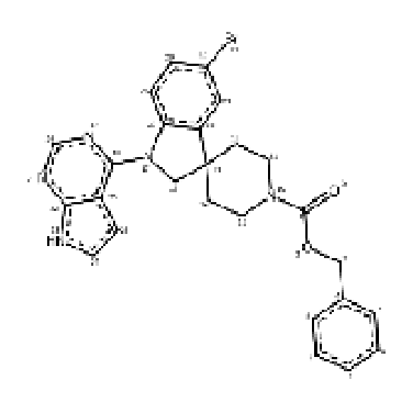 O=C(OCc1ccccc1)N1CCC2(CC1)CN(c1ncnc3[nH]ccc13)c1ccc(Br)cc12